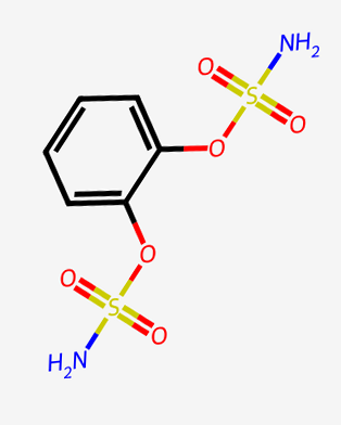 NS(=O)(=O)Oc1ccccc1OS(N)(=O)=O